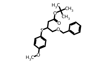 COc1ccc(SC(COCc2ccccc2)CC(=O)OC(C)(C)C)cc1